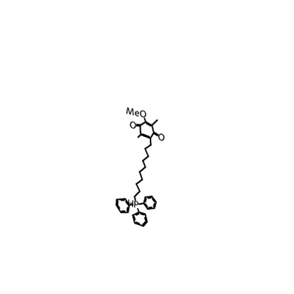 COC1=C(C)C(=O)C(CCCCCCCCCC[PH](c2ccccc2)(c2ccccc2)c2ccccc2)=C(C)C1=O